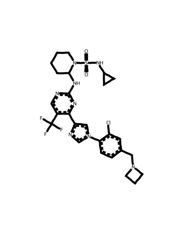 O=S(=O)(NC1CC1)N1CCCCC1Nc1ncc(C(F)(F)F)c(-c2cn(-c3ccc(CN4CCC4)cc3Cl)cn2)n1